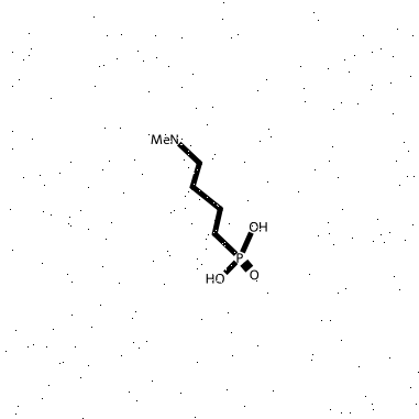 CNCCCCP(=O)(O)O